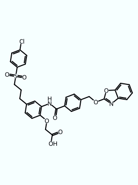 O=C(O)COc1ccc(CCCS(=O)(=O)c2ccc(Cl)cc2)cc1NC(=O)c1ccc(COc2nc3ccccc3o2)cc1